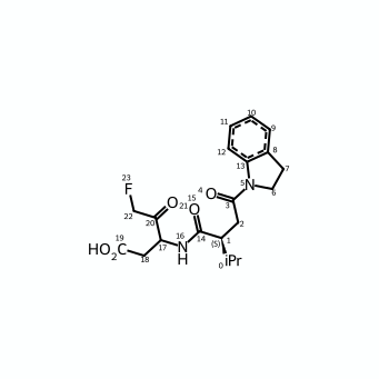 CC(C)[C@H](CC(=O)N1CCc2ccccc21)C(=O)NC(CC(=O)O)C(=O)CF